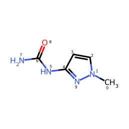 Cn1ccc(NC(N)=O)n1